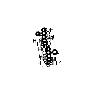 CC1=CC=CC([C@@H]2c3ccc(NC(=O)C4=C(O)[C@@H](N)[C@@H]5C[C@H]6C(=C(O)[C@]5(O)C4=O)C(=O)c4c(O)cccc4[C@H]6c4ccccc4)c(O)c3C(=O)C3=C(O)[C@]4(O)C(=O)C(C(N)=O)=C(O)[C@@H](N)[C@@H]4C[C@@H]32)C=C1